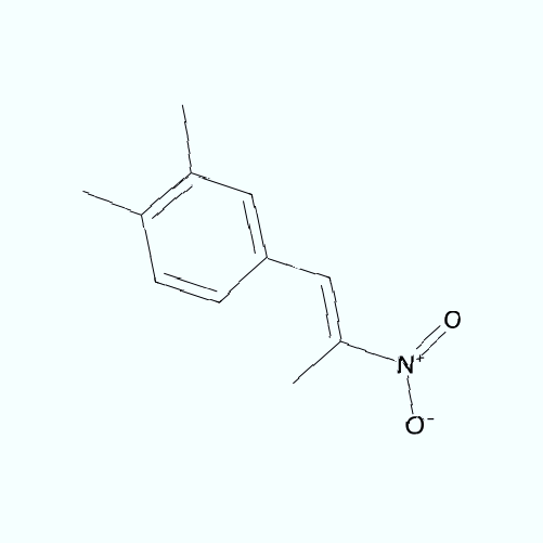 C/C(=C\c1ccc(C)c(C)c1)[N+](=O)[O-]